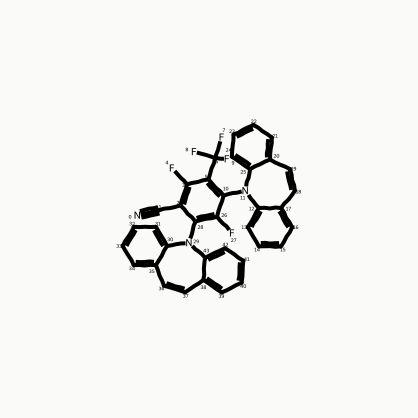 N#Cc1c(F)c(C(F)(F)F)c(N2c3ccccc3C=Cc3ccccc32)c(F)c1N1c2ccccc2C=Cc2ccccc21